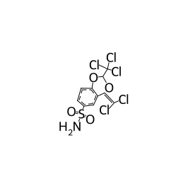 NS(=O)(=O)c1ccc2c(c1)C(=C(Cl)Cl)OC(C(Cl)(Cl)Cl)O2